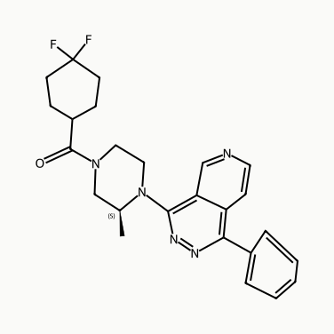 C[C@H]1CN(C(=O)C2CCC(F)(F)CC2)CCN1c1nnc(-c2ccccc2)c2ccncc12